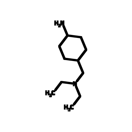 CCN(CC)CC1CCC(N)CC1